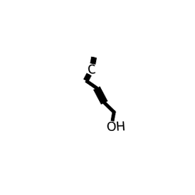 C=C=CC#CCO